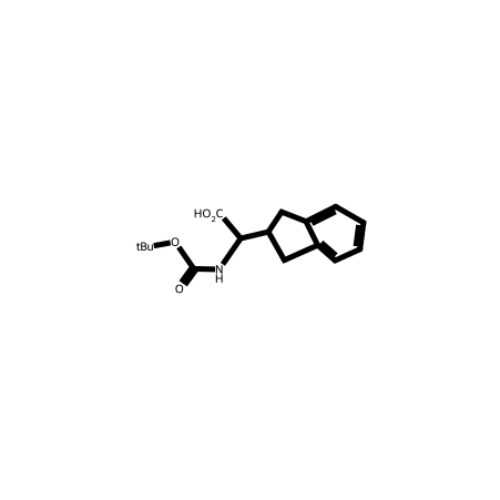 CC(C)(C)OC(=O)NC(C(=O)O)C1Cc2ccccc2C1